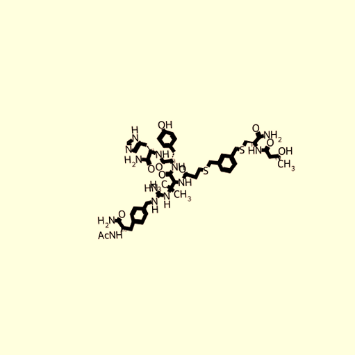 CC(=O)N[C@@H](Cc1ccc(CNC(=N)NC(C)(C)C(NC(=O)CCSCc2cccc(CSC[C@H](NC(=O)C[C@@H](C)O)C(N)=O)c2)C(=O)N[C@@H](Cc2ccc(O)cc2)C(=O)N[C@@H](Cc2cnc[nH]2)C(N)=O)cc1)C(N)=O